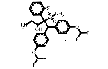 NCC(O)C(c1ccccc1F)(C(c1ccc(OC(F)F)cc1)c1ccc(OC(F)F)cc1)S(N)(=O)=O